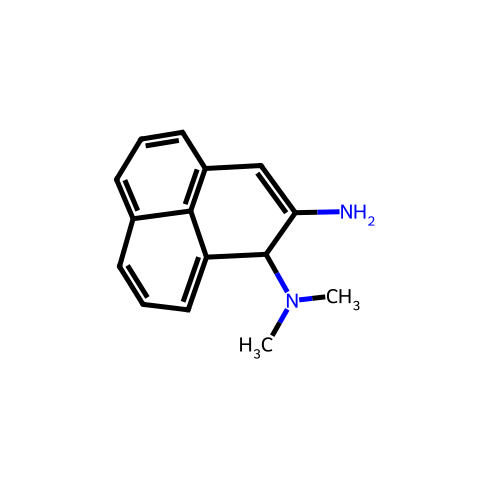 CN(C)C1C(N)=Cc2cccc3cccc1c23